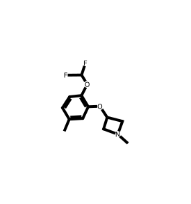 Cc1ccc(OC(F)F)c(OC2CN(C)C2)c1